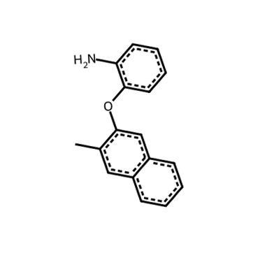 Cc1cc2ccccc2cc1Oc1ccccc1N